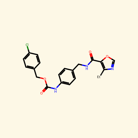 CCc1ncoc1C(=O)NCc1ccc(NC(=O)OCc2ccc(Cl)cc2)cc1